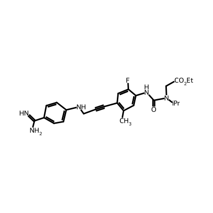 CCOC(=O)CN(C(=O)Nc1cc(C)c(C#CCNc2ccc(C(=N)N)cc2)cc1F)C(C)C